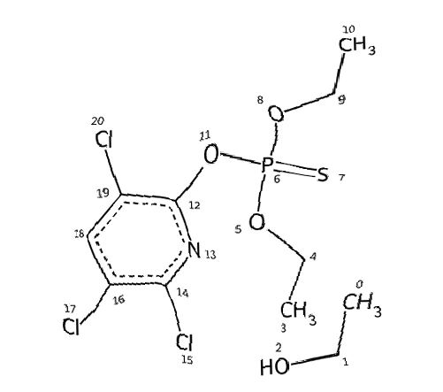 CCO.CCOP(=S)(OCC)Oc1nc(Cl)c(Cl)cc1Cl